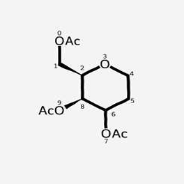 CC(=O)OC[C@H]1OCCC(OC(C)=O)[C@H]1OC(C)=O